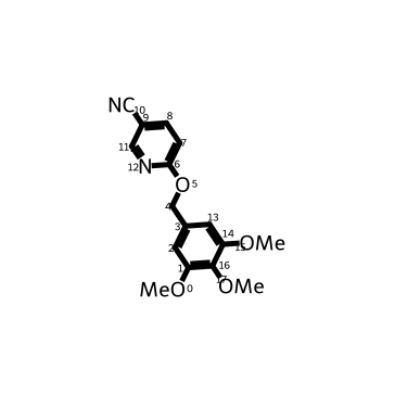 COc1cc(COc2ccc(C#N)[c]n2)cc(OC)c1OC